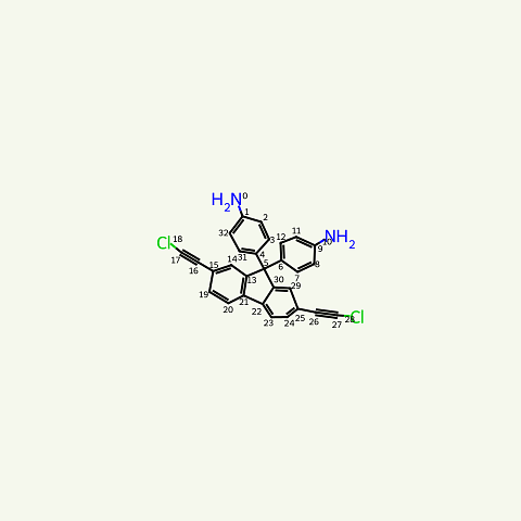 Nc1ccc(C2(c3ccc(N)cc3)c3cc(C#CCl)ccc3-c3ccc(C#CCl)cc32)cc1